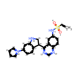 C=CS(=O)(=O)Nc1ccc2ncnc(C3CNc4cc(-n5cccc5)ccc43)c2c1